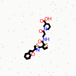 O=C(NCCC(=O)N1CCCC(C(=O)O)C1)c1sccc1-c1nc(-c2cc3ccccc3o2)cs1